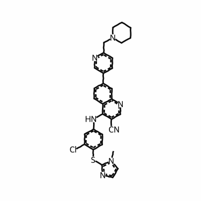 Cn1ccnc1Sc1ccc(Nc2c(C#N)cnc3cc(-c4ccc(CN5CCCCC5)nc4)ccc23)cc1Cl